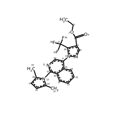 CCOC(=O)c1cnn(-c2cnc(-n3c(C)ccc3C)c3ccccc23)c1C(F)(F)F